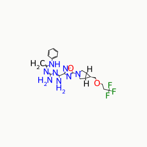 C=C(/N=C(N)\N=C(/N)c1noc(N2C[C@@H]3[C@@H](COCCC(F)(F)F)[C@@H]3C2)n1)Nc1ccccc1